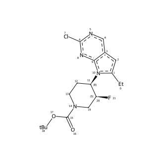 CCc1cc2cnc(Cl)nc2n1[C@@H]1CCN(C(=O)OC(C)(C)C)C[C@@H]1F